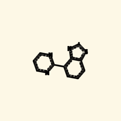 [c]1nc2c(-c3ncccn3)cccc2s1